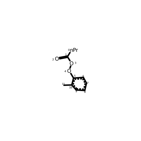 CCCC(=O)OOc1ccccc1C